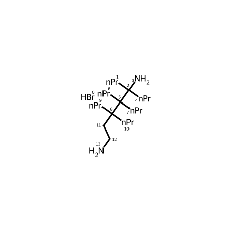 Br.CCCC(N)(CCC)C(CCC)(CCC)C(CCC)(CCC)CCN